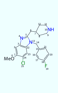 COc1cc2nc(CC3CCNCC3)n(Cc3ccc(F)cc3)c2cc1Cl